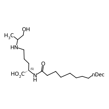 CCCCCCCCCCCCCCCCCC(=O)N[C@@H](CCCNC(C)CO)C(=O)O